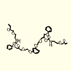 C=CC(=O)COCCNC(=O)OC(COCCOc1cccc(OCCOCC(COc2ccccc2)OC(=O)NCCOCC(=O)C=C)c1)COc1ccccc1